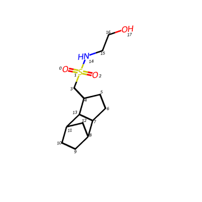 O=S(=O)(CC1CCC2C3CCC(C3)C12)NCCO